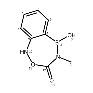 CN1B(O)c2ccccc2NOC1=O